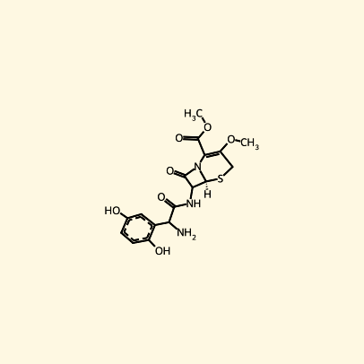 COC(=O)C1=C(OC)CS[C@H]2C(NC(=O)C(N)c3cc(O)ccc3O)C(=O)N12